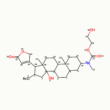 CC(=O)OC1CC2(O)C3CCC4CC(N(C)C(=O)OCCO)CCC4(C)C3CCC2(C)C1C1=CC(=O)OC1